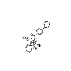 O=C(O)C[C@@]1(OC(=O)c2ccc(-c3ccccc3)cc2)[C@@H](O)[C@H]2C(=O)[C@H]1C21C=CC=CC1